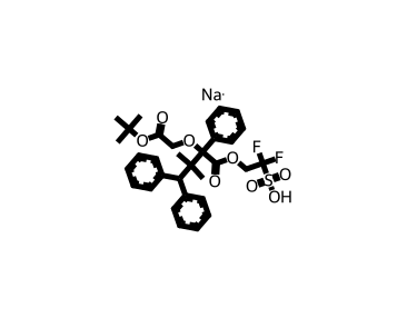 CC(C)(C)OC(=O)COC(C(=O)OCC(F)(F)S(=O)(=O)O)(c1ccccc1)C(C)(C)C(c1ccccc1)c1ccccc1.[Na]